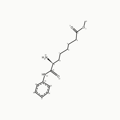 COC(=O)CCCCC[C@H](N)C(=O)Nc1ccccc1